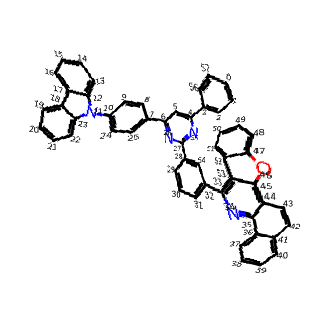 c1ccc(-c2cc(-c3ccc(-n4c5ccccc5c5ccccc54)cc3)nc(-c3cccc(-c4nc5c6ccccc6ccc5c5oc6ccccc6c45)c3)n2)cc1